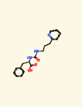 O=C(NCCCc1ccccn1)NC(Cc1ccccc1)C(=O)O